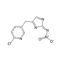 O=[N+]([O-])N=C1N=CC(Cc2ccc(Cl)nc2)=N1